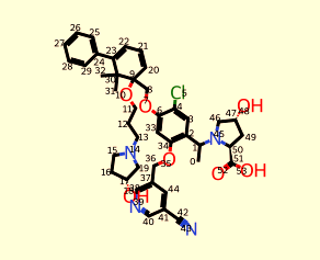 CC(c1cc(Cl)c(OCC2(OCCCN3CC[C@@H](O)C3)C=CC=C(c3ccccc3)C2(C)C)cc1OCc1cncc(C#N)c1)N1C[C@H](O)C[C@H]1C(=O)O